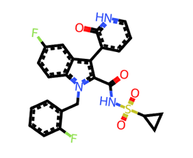 O=C(NS(=O)(=O)C1CC1)c1c(-c2ccc[nH]c2=O)c2cc(F)ccc2n1Cc1ccccc1F